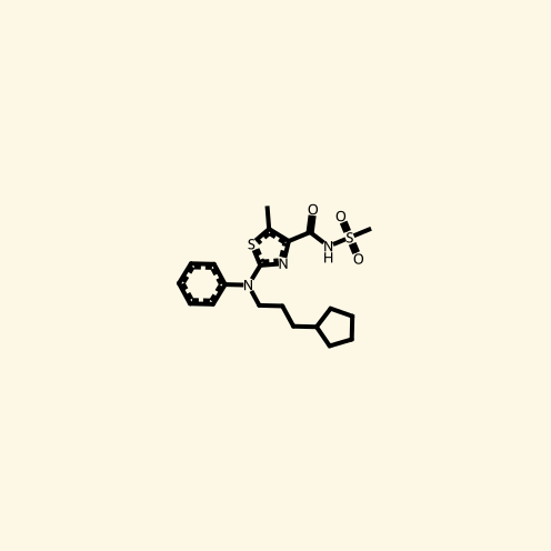 Cc1sc(N(CCCC2CCCC2)c2ccccc2)nc1C(=O)NS(C)(=O)=O